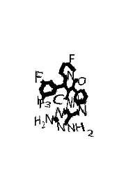 C[C@H](Nc1nc(N)nc(N)c1C#N)c1c(-c2ccccc2)c(=O)n2cc(F)ccc2c1-c1cc(F)cc(F)c1